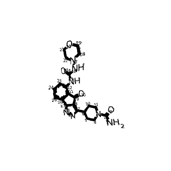 NC(=O)N1CCC(C2=C3C(=O)c4c(NC(=O)NN5CCOCC5)cccc4C3N=N2)CC1